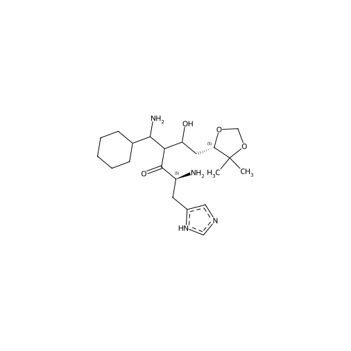 CC1(C)OCO[C@H]1CC(O)C(C(=O)[C@@H](N)Cc1cnc[nH]1)C(N)C1CCCCC1